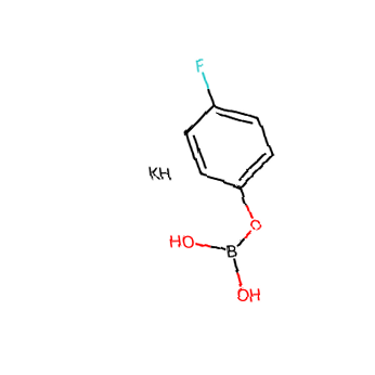 OB(O)Oc1ccc(F)cc1.[KH]